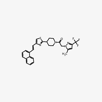 Cc1cc(C(F)(F)F)nn1CC(=O)N1CCC(c2nc(C=Cc3cccc4ccccc34)cs2)CC1